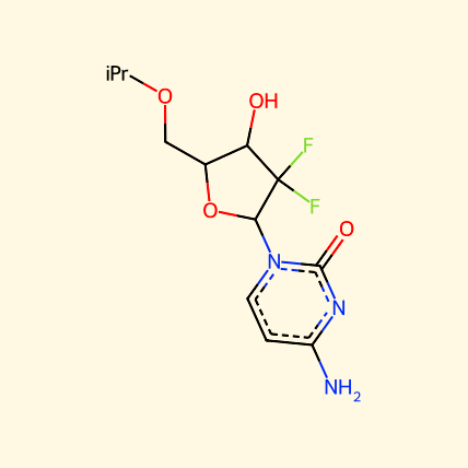 CC(C)OCC1OC(n2ccc(N)nc2=O)C(F)(F)C1O